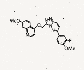 COc1ccc2c(OCc3nnc4ccc(-c5ccc(OC)c(F)c5)nn34)ccnc2c1